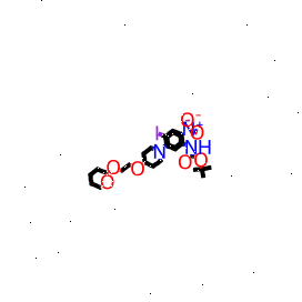 CC(C)(C)OC(=O)Nc1cc(N2CCC(OCCOC3CCCCO3)CC2)c(I)cc1[N+](=O)[O-]